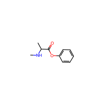 CNC(C)C(=O)Oc1ccccc1